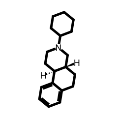 c1ccc2c(c1)CC[C@H]1CN(C3CCCCC3)CC[C@H]21